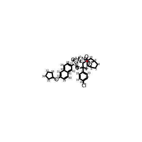 CN([C@H](C(=O)N1C2CCC1CC(N)C2)C(F)(F)c1ccc(Cl)cc1)S(=O)(=O)c1ccc2cc(OC3CCCC3)ccc2c1